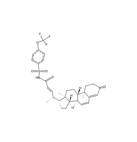 C[C@H](/C=C/C(=O)NS(=O)(=O)c1ccc(OC(F)(F)F)cc1)[C@H]1CC[C@H]2[C@@H]3C=CC4=CC(=O)CC[C@]4(C)[C@H]3CC[C@]12C